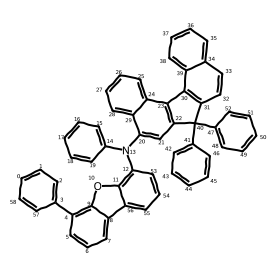 c1ccc(-c2cccc3c2oc2c(N(c4ccccc4)c4cc5c(c6ccccc46)-c4c(ccc6ccccc46)C5(c4ccccc4)c4ccccc4)cccc23)cc1